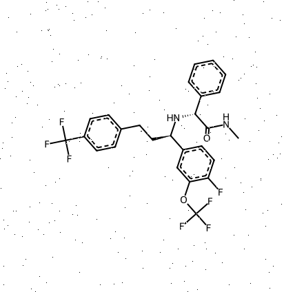 CNC(=O)[C@H](N[C@H](CCc1ccc(C(F)(F)F)cc1)c1ccc(F)c(OC(F)(F)F)c1)c1ccccc1